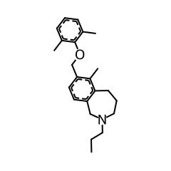 CCCN1CCCc2c(ccc(COc3c(C)cccc3C)c2C)C1